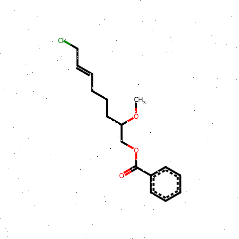 COC(CCCC=CCCl)COC(=O)c1ccccc1